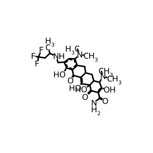 CC(CC(F)(F)F)NCc1cc(N(C)C)c2c(c1O)C(=O)C1=C(O)C3(O)C(=O)C(C(N)=O)=C(O)C(N(C)C)C3CC1C2